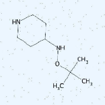 CC(C)(C)ONC1CCNCC1